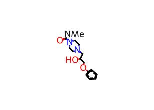 CNC(=O)N1CCN(CC(O)COc2ccccc2)CC1